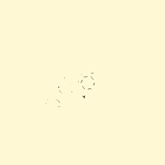 C=C(C)C(=O)OC(O)c1ccccc1O